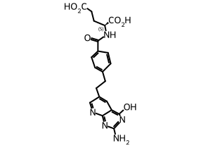 Nc1nc(O)c2cc(CCc3ccc(C(=O)N[C@@H](CCC(=O)O)C(=O)O)cc3)cnc2n1